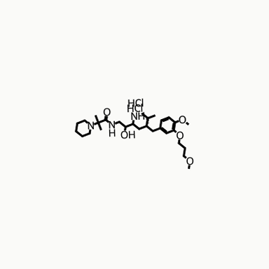 COCCCOc1cc(CC(CC(N)C(O)CNC(=O)C(C)(C)N2CCCCC2)C(C)C)ccc1OC.Cl.Cl